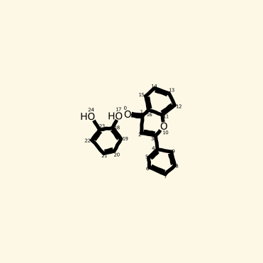 O=c1cc(-c2ccccc2)oc2ccccc12.Oc1ccccc1O